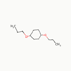 CCCOC1CCC(OCCC)CC1